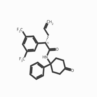 C=CC[C@H](C(=O)NC1(c2ccccc2)CCC(=O)CC1)c1cc(C(F)(F)F)cc(C(F)(F)F)c1